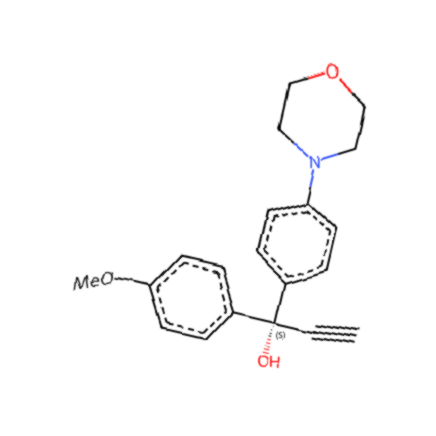 C#C[C@@](O)(c1ccc(OC)cc1)c1ccc(N2CCOCC2)cc1